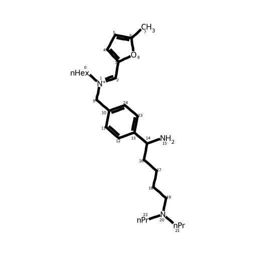 CCCCCC[N+](=Cc1ccc(C)o1)Cc1ccc(C(N)CCCCN(CCC)CCC)cc1